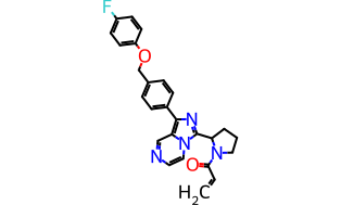 C=CC(=O)N1CCCC1c1nc(-c2ccc(COc3ccc(F)cc3)cc2)c2cnccn12